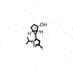 CC(C)n1nc(I)cc1C1[C@H]2[C@@H]1CC[C@@H]2O